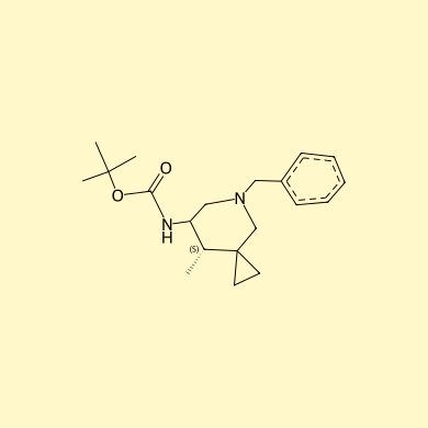 C[C@@H]1C(NC(=O)OC(C)(C)C)CN(Cc2ccccc2)CC12CC2